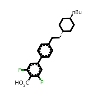 CCCC[C@H]1CC[C@H](CCc2ccc(-c3cc(F)c(C(=O)O)c(F)c3)cc2)CC1